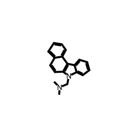 CN(C)Cn1c2ccccc2c2c3ccccc3ccc21